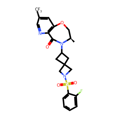 C[C@@H]1COc2cc(C(F)(F)F)cnc2C(=O)N1C1CC2(C1)CN(S(=O)(=O)c1ccccc1F)C2